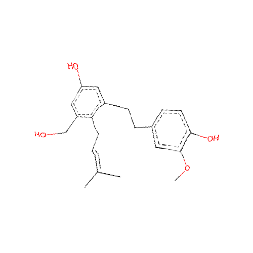 COc1cc(CCc2cc(O)cc(CO)c2CC=C(C)C)ccc1O